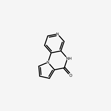 O=c1[nH]c2cnccc2n2cccc12